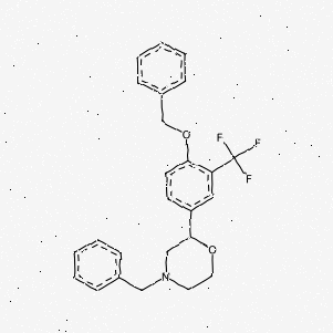 FC(F)(F)c1cc(C2CN(Cc3ccccc3)CCO2)ccc1OCc1ccccc1